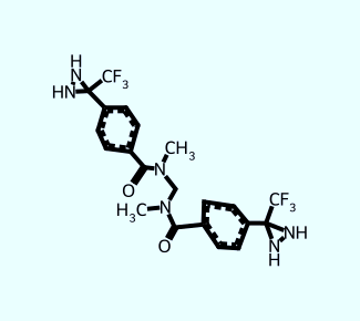 CN(CN(C)C(=O)c1ccc(C2(C(F)(F)F)NN2)cc1)C(=O)c1ccc(C2(C(F)(F)F)NN2)cc1